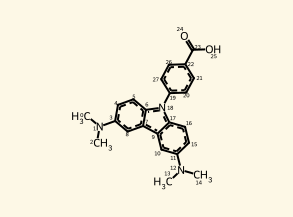 CN(C)c1ccc2c(c1)c1cc(N(C)C)ccc1n2-c1ccc(C(=O)O)cc1